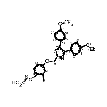 CCOc1ccc(-c2nc(COc3ccc(OCC(=O)O)c(C)c3)sc2-c2ccc(OC(F)(F)F)cc2)cc1